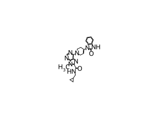 Cn1c(C(=O)NCC2CC2)nc2c(N3CC=C(n4c(=O)[nH]c5ccccc54)CC3)ncnc21